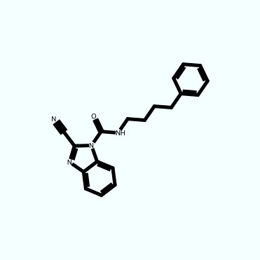 N#Cc1nc2ccccc2n1C(=O)NCCCCc1ccccc1